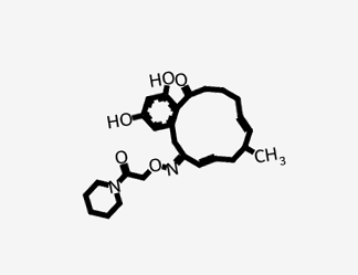 CC1/C=C/CCCC(=O)c2c(O)cc(O)cc2CC(=N\OCC(=O)N2CCCCC2)/C=C/C1